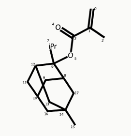 C=C(C)C(=O)OC1(C(C)C)C2CC3CC1CC(C)(C3)C2